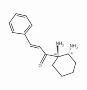 N[C@@H]1CCCC[C@]1(N)C(=O)C=Cc1ccccc1